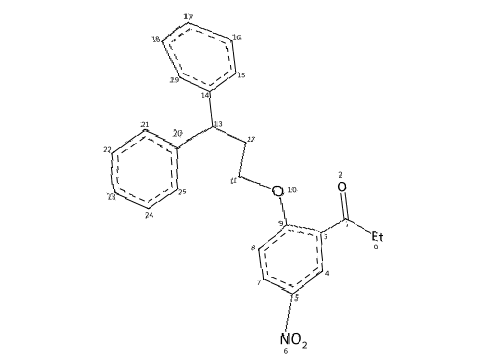 CCC(=O)c1cc([N+](=O)[O-])ccc1OCCC(c1ccccc1)c1ccccc1